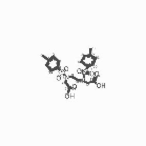 Cc1ccc(S(=O)(=O)N(CCN(CC(=O)O)S(=O)(=O)c2ccc(C)cc2)CC(=O)O)cc1